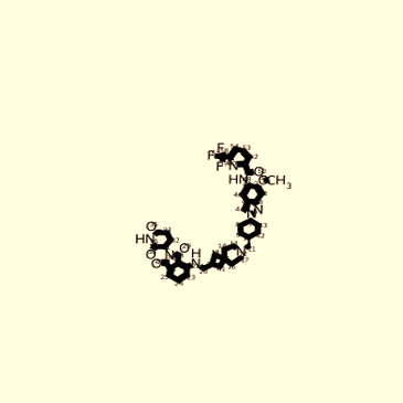 COc1cc2nn([C@H]3CC[C@H](CN4CCC5(CC4)CC(CNc4cccc6c4C(=O)N([C@@H]4CCC(=O)NC4=O)C6=O)C5)CC3)cc2cc1NC(=O)c1cccc(C(F)(F)F)n1